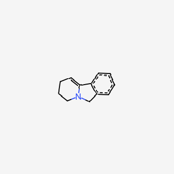 C1=C2c3ccccc3CN2CCC1